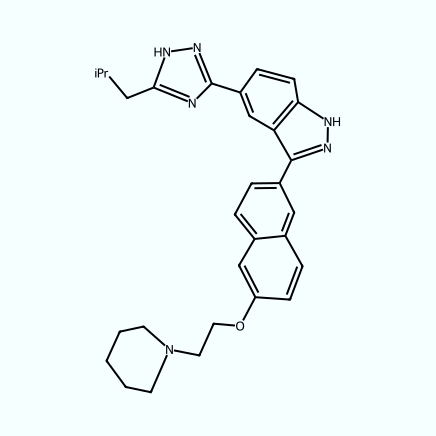 CC(C)Cc1nc(-c2ccc3[nH]nc(-c4ccc5cc(OCCN6CCCCC6)ccc5c4)c3c2)n[nH]1